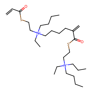 C=CC(=O)SCC[N+](CC)(CCCC)CCCCC(=C)C(=O)SCC[N+](CC)(CCC)CCCC